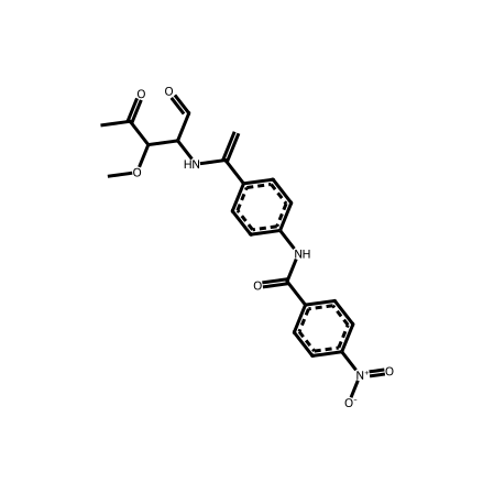 C=C(NC(C=O)C(OC)C(C)=O)c1ccc(NC(=O)c2ccc([N+](=O)[O-])cc2)cc1